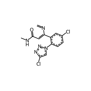 C=N/C(=C\C(=O)NC)c1cc(Cl)ccc1-n1cc(Cl)nn1